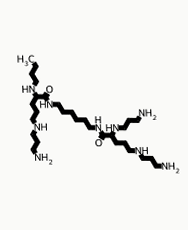 CCCCNC(CCCNCCCN)C(=O)NCCCCCCNC(=O)C(CCCNCCCN)NCCCN